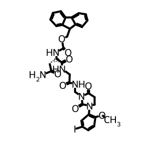 COc1ccc(I)cc1N1CCC(=O)N(CNC(=O)CNC(=O)[C@H](CC(N)=O)NC(=O)OCC2c3ccccc3-c3ccccc32)C1=O